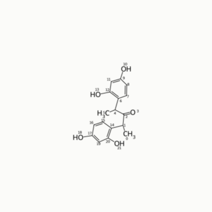 CC(C(=O)C(C)c1ccc(O)cc1O)c1ccc(O)cc1O